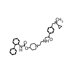 CN(Cc1ccc(C(=O)CNCCN2CCC(OC(=O)Nc3ccccc3-c3ccccc3)CC2)cc1)C1CC1